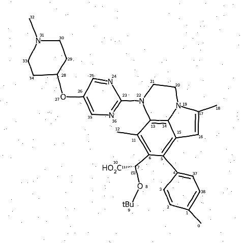 Cc1ccc(-c2c([C@H](OC(C)(C)C)C(=O)O)c(C)c3c4c2cc(C)n4CCN3c2ncc(OC3CCN(C)CC3)cn2)cc1